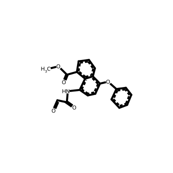 COC(=O)c1cccc2c(Oc3ccccc3)ccc(NC(=O)C=O)c12